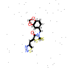 O=C1C(=Cc2csnn2)SC(=S)N1Cc1ccc2c(c1)OCO2